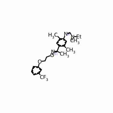 CCN(C)/C=N\c1cc(C)c(/C(C)=N/OCCOc2cccc(C(F)(F)F)c2)cc1C